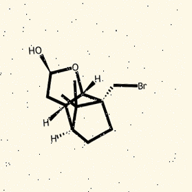 CC1(C)[C@H]2CC[C@]1(CBr)[C@H]1O[C@H](O)C[C@@H]21